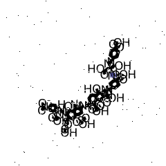 Nc1c(N=Nc2ccc3c(O)c(N=Nc4ccc(S(=O)(=O)O)c(/N=N/c5c(C(=O)O)nn(-c6ccc(S(=O)(=O)O)cc6)c5O)c4)c(S(=O)(=O)O)cc3c2S(=O)(=O)O)cc(S(=O)(=O)O)c2cc(SOOO)c(N=Nc3ccc([N+](=O)[O-])cc3S(=O)(=O)O)c(O)c12